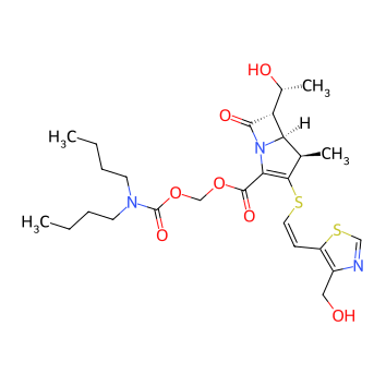 CCCCN(CCCC)C(=O)OCOC(=O)C1=C(S/C=C\c2scnc2CO)[C@H](C)[C@@H]2[C@@H]([C@@H](C)O)C(=O)N12